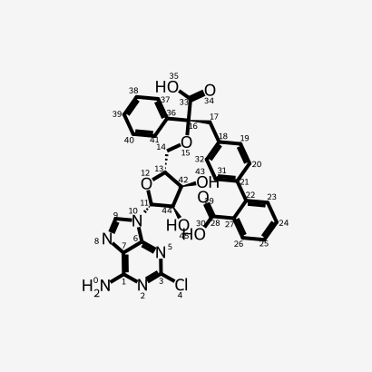 Nc1nc(Cl)nc2c1ncn2[C@@H]1O[C@H](CO[C@@](Cc2ccc(-c3ccccc3C(=O)O)cc2)(C(=O)O)c2ccccc2)[C@@H](O)[C@H]1O